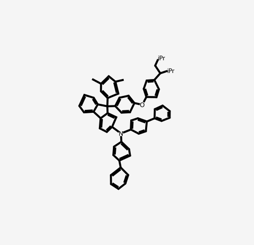 Cc1cc(C)cc(C2(c3ccc(Oc4ccc(C(CC(C)C)C(C)C)cc4)cc3)c3ccccc3-c3ccc(N(c4ccc(-c5ccccc5)cc4)c4ccc(-c5ccccc5)cc4)cc32)c1